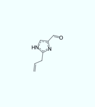 C=CCc1nc(C=O)c[nH]1